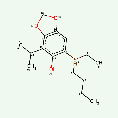 CCCC[SH](CC)c1cc2c(c(C(C)C)c1O)OCO2